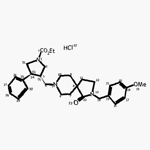 CCOC(=O)N1C[C@H](CN2CCC3(CC2)CCN(Cc2ccc(OC)cc2)C3=O)[C@@H](c2ccccc2)C1.Cl